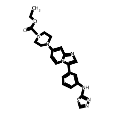 CCOC(=O)N1CCN(c2ccn3c(-c4cccc(Nc5nncs5)c4)cnc3c2)CC1